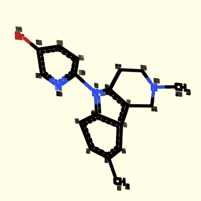 Cc1ccc2c(c1)c1c(n2-c2ccc(Br)cn2)CCN(C)C1